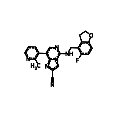 Cc1ncccc1-c1cnc(NCc2c(F)ccc3c2CCO3)n2cc(C#N)nc12